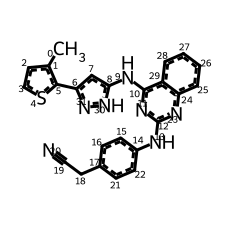 Cc1ccsc1-c1cc(Nc2nc(Nc3ccc(CC#N)cc3)nc3ccccc23)[nH]n1